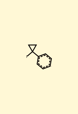 IC1(c2cc[c]cc2)CC1